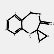 O=C1NCc2ccccc2OC12CC2